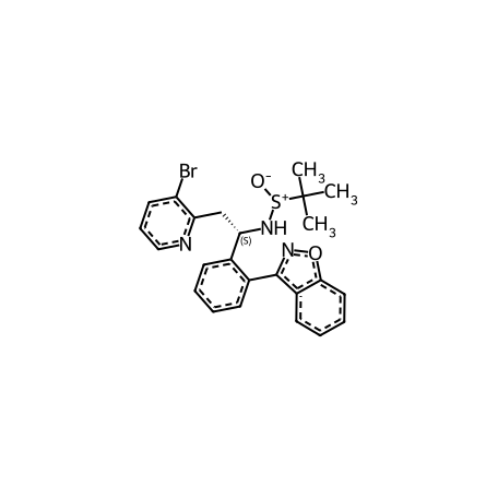 CC(C)(C)[S+]([O-])N[C@@H](Cc1ncccc1Br)c1ccccc1-c1noc2ccccc12